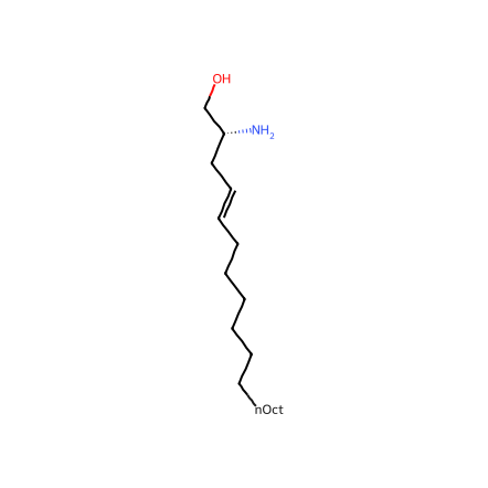 CCCCCCCCCCCCCC/C=C/C[C@@H](N)CO